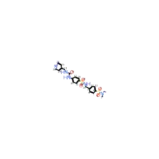 CN(C)S(=O)(=O)c1ccc(CNS(=O)(=O)c2ccc(NC(=O)NCc3ccncc3)cc2)cc1